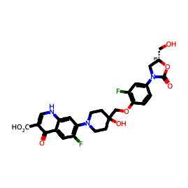 O=C(O)c1c[nH]c2cc(N3CCC(O)(COc4ccc(N5C[C@H](CO)OC5=O)cc4F)CC3)c(F)cc2c1=O